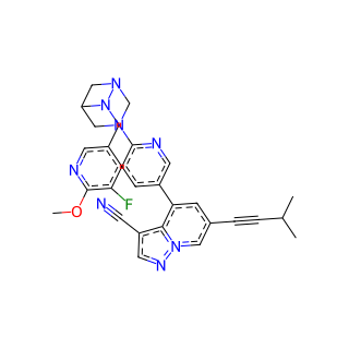 COc1ncc(CN2C3CN(c4ccc(-c5cc(C#CC(C)C)cn6ncc(C#N)c56)cn4)CN2C3)cc1F